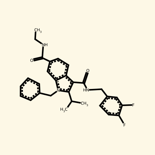 CCNC(=O)c1ccc2c(C(=O)NCc3ccc(F)c(F)c3)c(C(C)C)n(Cc3ccccc3)c2c1